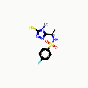 CCn1c(S)nnc1[C@@H](C)NS(=O)(=O)c1ccc(F)cc1